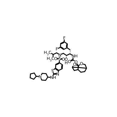 CC(C)CN(C[C@@H](O)[C@H](Cc1cc(F)cc(F)c1)NC(=O)OC1C2CCC3CC1OC3OC2)S(=O)(=O)c1ccc2nc(NC3CCN(C4CCCC4)CC3)sc2c1